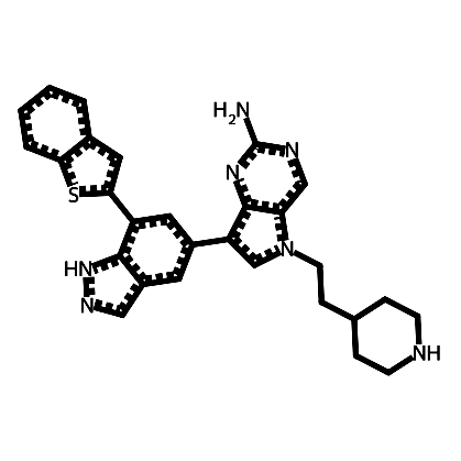 Nc1ncc2c(n1)c(-c1cc(-c3cc4ccccc4s3)c3[nH]ncc3c1)cn2CCC1CCNCC1